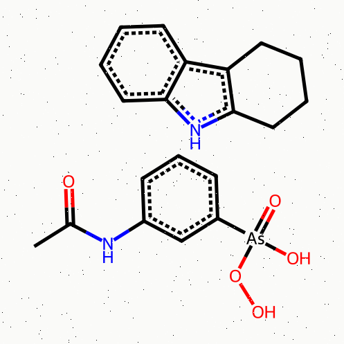 CC(=O)Nc1cccc([As](=O)(O)OO)c1.c1ccc2c3c([nH]c2c1)CCCC3